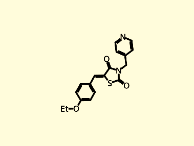 CCOc1ccc(/C=C2\SC(=O)N(Cc3ccncc3)C2=O)cc1